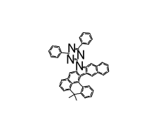 CC1(C)c2ccccc2-c2c3c1cccc3cc1c2c2cc3ccccc3cc2n1-c1nc(-c2ccccc2)nc(-c2ccccc2)n1